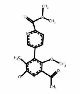 COc1c(C(C)=O)cc(Cl)c(C)c1-c1ccc(C(=O)N(C)C)nc1